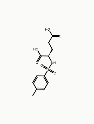 Cc1ccc(S(=O)(=O)N[C@H](CCC(=O)O)C(=O)O)cc1